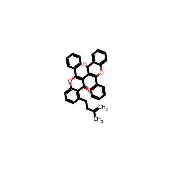 C=C(C)CCc1cccc2oc(-c3ccccc3)c(-c3c(-c4ccccc4)oc4ccccc4c3=O)c(=O)c12